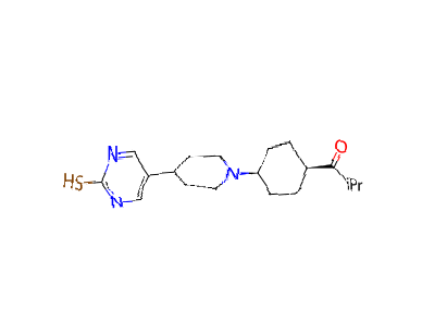 CC(C)C(=O)[C@H]1CC[C@@H](N2CCC(c3cnc(S)nc3)CC2)CC1